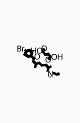 C=CCN(C)CC(C)=CCCC(C)=CC(=O)c1ccc(Br)cc1.O=C(O)C=CC(=O)O